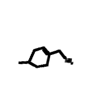 CC1CC=C(CN)CC1